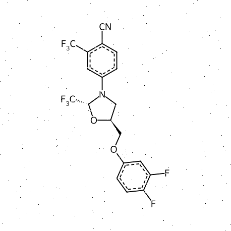 N#Cc1ccc(N2C[C@@H](COc3ccc(F)c(F)c3)O[C@@H]2C(F)(F)F)cc1C(F)(F)F